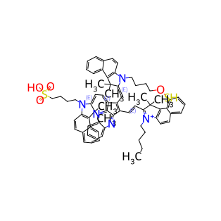 CCCCC[N+]1=C(/C=C/C2=C(/C=C3/N(CCCCOS)c4ccc5ccccc5c4C3(C)C)C(=C/C=C3/N(CCCCS(=O)(=O)O)c4ccc5ccccc5c4C3(C)C)/c3nc4ccccc4nc32)C(C)(C)c2c1ccc1ccccc21